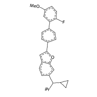 COc1ccc(F)c(-c2ccc(-c3cc4ccc(C(C(C)C)C5CC5)cc4o3)cc2)c1